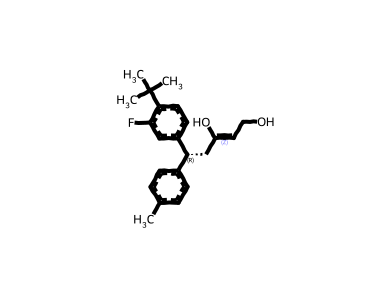 Cc1ccc([C@@H](C/C(O)=C/CO)c2ccc(C(C)(C)C)c(F)c2)cc1